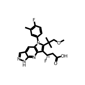 COCC(C)(C)c1c([C@@H](F)CC(=O)O)c2nc3[nH]ncc3cc2n1-c1ccc(F)c(C)c1